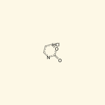 Cl.O=c1nccco1